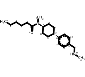 CCCCCC(=O)N(C)[C@H]1CC[C@H](c2ccc(CNC)cc2)CC1